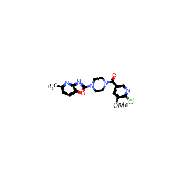 COc1cc(C(=O)N2CCN(c3nc4nc(C)ccc4o3)CC2)cnc1Cl